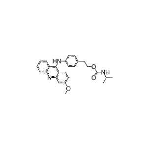 COc1ccc2c(Nc3ccc(CCOC(=O)NC(C)C)cc3)c3ccccc3nc2c1